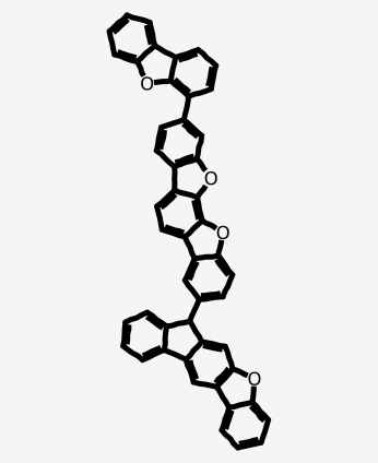 c1ccc2c(c1)-c1cc3c(cc1C2c1ccc2oc4c(ccc5c6ccc(-c7cccc8c7oc7ccccc78)cc6oc54)c2c1)oc1ccccc13